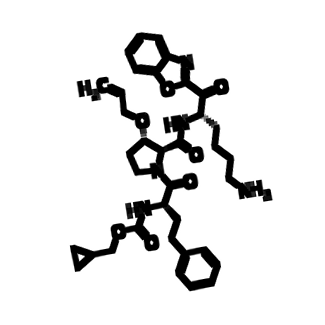 C=CCO[C@H]1CCN(C(=O)[C@@H](CCc2ccccc2)NC(=O)OCC2CC2)[C@@H]1C(=O)N[C@@H](CCCCN)C(=O)c1nc2ccccc2o1